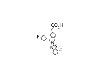 O=C(O)/C=C/c1ccc(CN(CCc2ccc(F)cc2)c2nc3cccc(F)c3s2)cc1